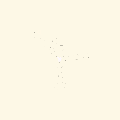 c1ccc([Si]2(c3ccccc3)c3cc(-c4ccc5oc6ccccc6c5c4)ccc3-c3ccc(-n4c5ccc(-c6ccc(-c7cccc8ccccc78)cc6)cc5c5cc(-c6ccc(-c7cccc8ccccc78)cc6)ccc54)cc32)cc1